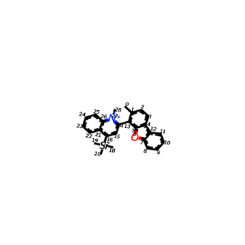 Cc1ccc2c(oc3ccccc32)c1-c1cc([Si](C)(C)C)c2ccccc2[n+]1C